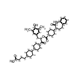 Cc1cc(C[C@@H](OC(=O)N2CCC(N3CCc4ccccc4NC3=O)CC2)C(=O)N2CCN(C3CCN(CCCC(=O)O)CC3)CC2)cc(C)c1O